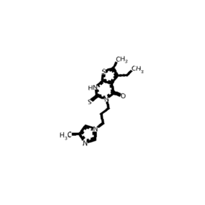 CCc1c(C)sc2[nH]c(=S)n(CCCn3cnc(C)c3)c(=O)c12